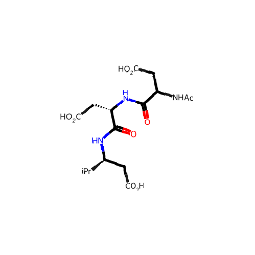 CC(=O)NC(CC(=O)O)C(=O)N[C@@H](CC(=O)O)C(=O)N[C@@H](CC(=O)O)C(C)C